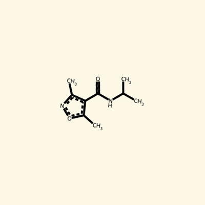 Cc1noc(C)c1C(=O)NC(C)C